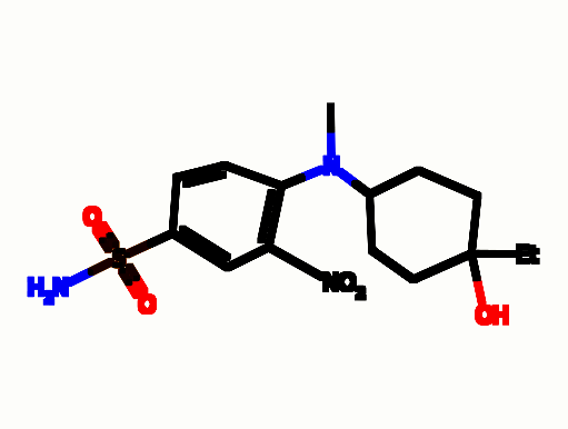 CCC1(O)CCC(N(C)c2ccc(S(N)(=O)=O)cc2[N+](=O)[O-])CC1